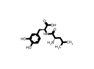 CC(C)C[C@H](N)C(=O)N[C@@H](Cc1ccc(O)c(O)c1)C(=O)O